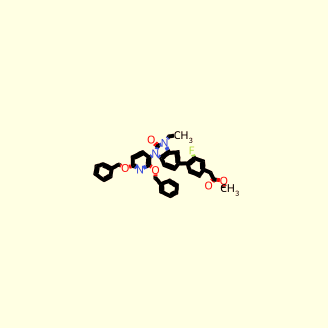 CCn1c(=O)n(-c2ccc(OCc3ccccc3)nc2OCc2ccccc2)c2ccc(-c3ccc(CC(=O)OC)cc3F)cc21